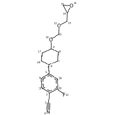 N#Cc1ccc(C2CCC(OCOCC3CO3)CC2)cc1F